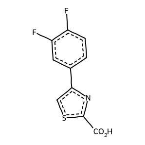 O=C(O)c1nc(-c2ccc(F)c(F)c2)cs1